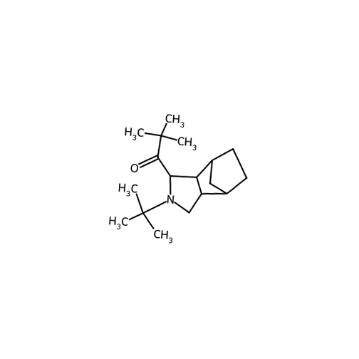 CC(C)(C)C(=O)C1C2C3CCC(C3)C2CN1C(C)(C)C